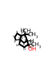 CC1(C)[C@H]2C[C@]3(CCC[C@@H]13)CC[C@@]2(C)O